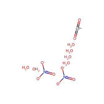 O.O.O.O.O.O.O=[N+]([O-])[O-].O=[N+]([O-])[O-].[O]=[U+2]=[O]